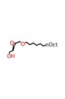 CCCCCCCCCCCCCCOCC1OC1=CCO